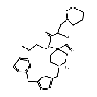 CCCCN1C(=O)C(CC2CCCCC2)NC(=O)C12CCN(Cc1ccc(Cc3ccccc3)s1)CC2.Cl